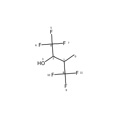 CC([C](O)C(F)(F)F)C(F)(F)F